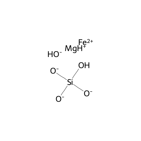 [Fe+2].[MgH+].[O-][Si]([O-])([O-])O.[OH-]